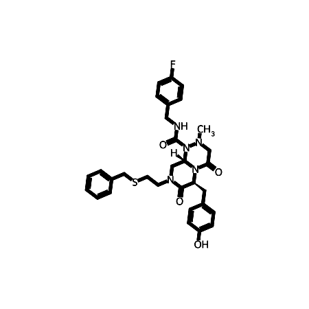 CN1CC(=O)N2[C@@H](Cc3ccc(O)cc3)C(=O)N(CCSCc3ccccc3)C[C@@H]2N1C(=O)NCc1ccc(F)cc1